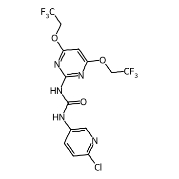 O=C(Nc1ccc(Cl)nc1)Nc1nc(OCC(F)(F)F)cc(OCC(F)(F)F)n1